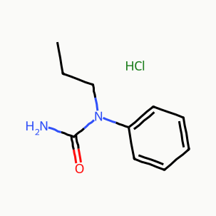 CCCN(C(N)=O)c1ccccc1.Cl